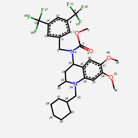 COC(=O)N(Cc1cc(C(F)(F)F)cc(C(F)(F)F)c1)C1CC(C)N(CC2CCCCC2)c2cc(OC)c(OC)cc21